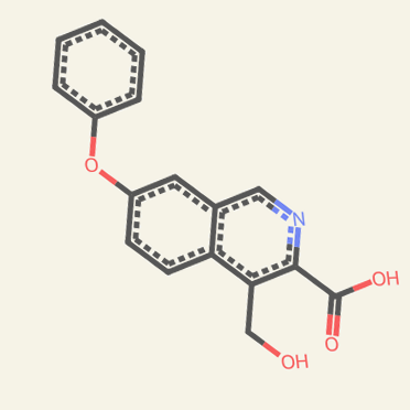 O=C(O)c1ncc2cc(Oc3ccccc3)ccc2c1CO